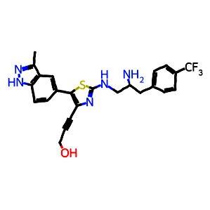 Cc1n[nH]c2ccc(-c3sc(NC[C@@H](N)Cc4ccc(C(F)(F)F)cc4)nc3C#CCO)cc12